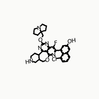 Oc1cc(-c2nc3c4c(nc(OCC56CCCN5CCC6)nc4c2F)C2CCNCC2CO3)c2c(Cl)cccc2c1